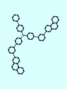 c1ccc(-c2ccc(N(c3ccc(-c4cccc(-c5ccc6c(ccc7ccccc76)c5)c4)cc3)c3ccc(-c4cccc(-c5ccc6c(ccc7ccccc76)c5)c4)cc3)cc2)cc1